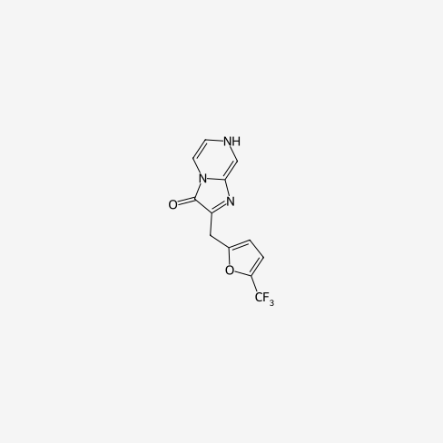 O=c1c(Cc2ccc(C(F)(F)F)o2)nc2c[nH]ccn1-2